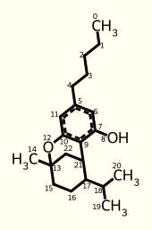 CCCCCc1cc(O)c2c(c1)OC1(C)CCC(C(C)C)C2C1